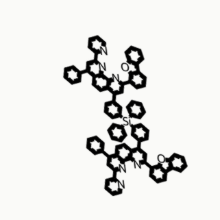 c1ccc(-c2cc(-c3ccccn3)nc3c2ccc2c(-c4cccc([Si](c5ccccc5)(c5ccccc5)c5cccc(-c6cc(-c7cccc8c7oc7ccccc78)nc7c6ccc6c(-c8ccccc8)cc(-c8ccccn8)nc67)c5)c4)cc(-c4cccc5c4oc4ccccc45)nc23)cc1